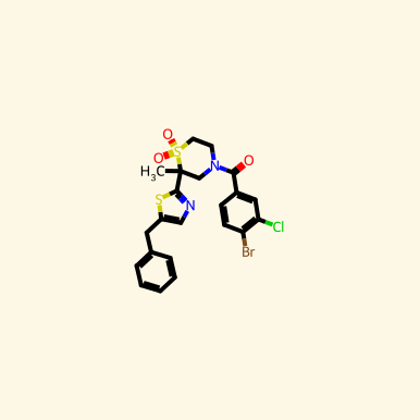 CC1(c2ncc(Cc3ccccc3)s2)CN(C(=O)c2ccc(Br)c(Cl)c2)CCS1(=O)=O